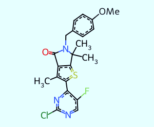 COc1ccc(CN2C(=O)c3c(sc(-c4nc(Cl)ncc4F)c3C)C2(C)C)cc1